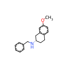 COc1ccc2c(c1)C[C@@H](NCc1ccccc1)CC2